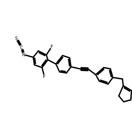 Fc1cc(N=C=S)cc(F)c1-c1ccc(C#Cc2ccc(CC3=CCCC3)cc2)cc1